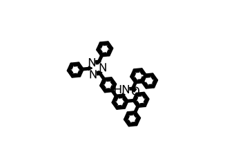 O=C(Nc1c(-c2ccc(-c3nc(-c4ccccc4)nc(-c4ccccc4)n3)cc2)cccc1-c1ccccc1-c1ccccc1)c1cccc2ccccc12